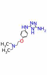 CCN(CC)CCOc1ccc(Nc2nnc(N)[nH]2)cc1